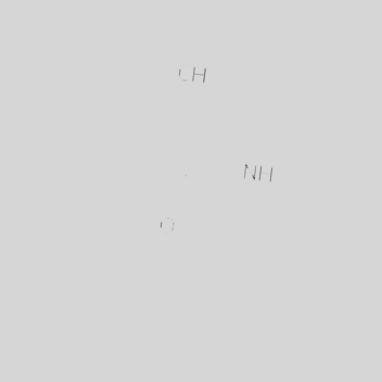 C[C@@H](Cc1ccccc1)C(=O)NC1CCCC1